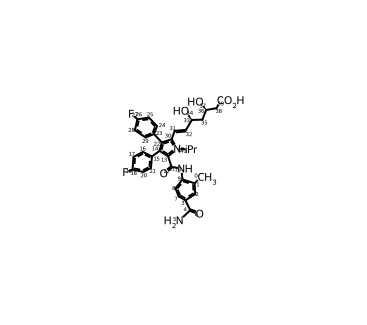 Cc1cc(C(N)=O)ccc1NC(=O)c1c(-c2ccc(F)cc2)c(-c2ccc(F)cc2)c(C=C[C@@H](O)C[C@@H](O)CC(=O)O)n1C(C)C